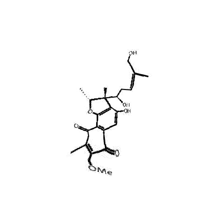 COC1=C(C)C(=O)c2c(cc(O)c3c2O[C@H](C)[C@]3(C)[C@H](O)C/C=C(/C)CO)C1=O